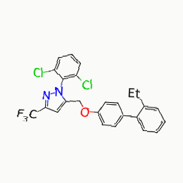 CCc1ccccc1-c1ccc(OCc2cc(C(F)(F)F)nn2-c2c(Cl)cccc2Cl)cc1